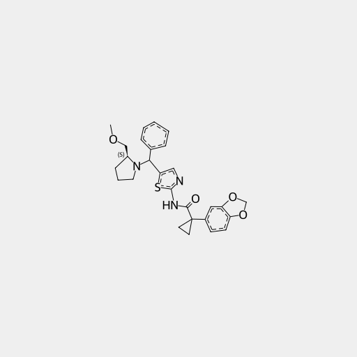 COC[C@@H]1CCCN1C(c1ccccc1)c1cnc(NC(=O)C2(c3ccc4c(c3)OCO4)CC2)s1